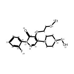 CCOCCOc1c(N2CCN(SO)CC2)cnn(-c2ccccc2F)c1=O